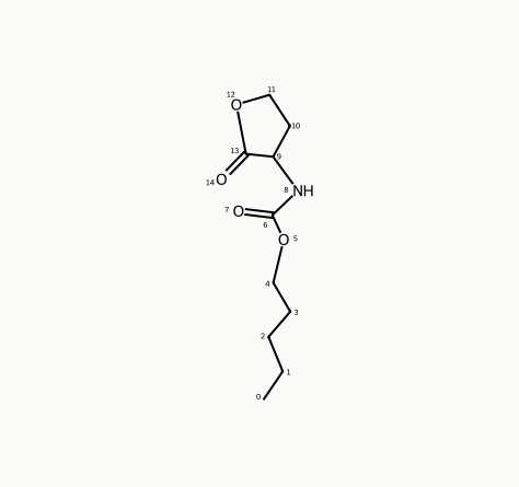 CCCCCOC(=O)NC1CCOC1=O